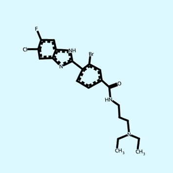 CCN(CC)CCCNC(=O)c1ccc(-c2nc3cc(Cl)c(F)cc3[nH]2)c(Br)c1